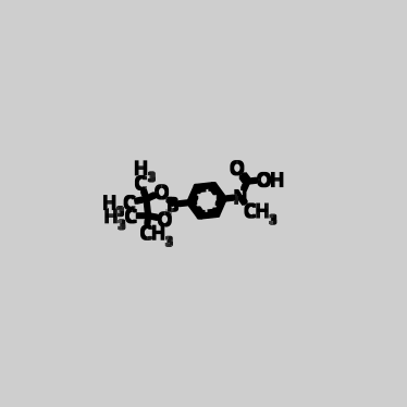 CN(C(=O)O)c1ccc(B2OC(C)(C)C(C)(C)O2)cc1